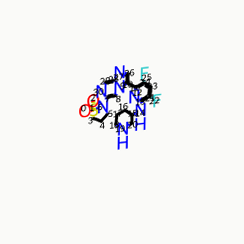 O=S1(=O)CCCN1c1cn2c(-c3nc(NC4CCCNC4)c(F)cc3F)cnc2cn1